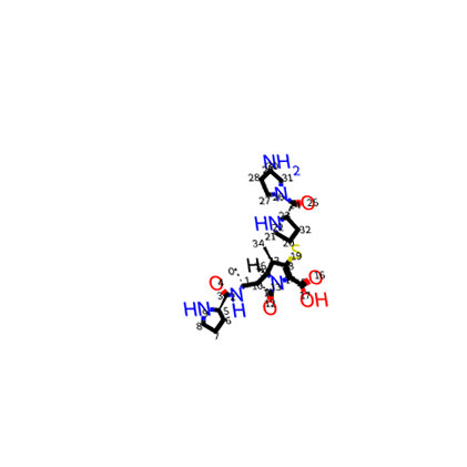 C[C@@H](NC(=O)[C@H]1CCCN1)[C@H]1C(=O)N2C(C(=O)O)=C(S[C@@H]3CN[C@H](C(=O)N4CC[C@H](N)C4)C3)[C@H](C)[C@H]12